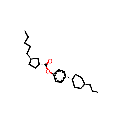 CCCCC[C@@H]1CC[C@@H](C(=O)Oc2ccc([C@H]3CC[C@H](CCC)CC3)cc2)C1